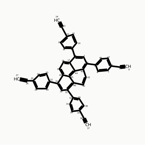 C#Cc1ccc(-c2cc(-c3ccc(C#C)cc3)c3ccc4c(-c5ccc(C#C)cc5)cc(-c5ccc(C#C)cc5)c5ccc2c3c54)cc1